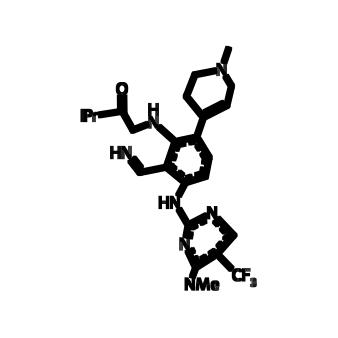 CNc1nc(Nc2ccc(C3=CCN(C)CC3)c(NCC(=O)C(C)C)c2C=N)ncc1C(F)(F)F